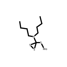 CCCCN(CCCC)C1([S][Mo])SS1